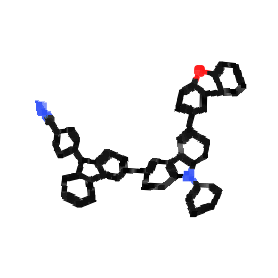 N#Cc1ccc(C2c3ccccc3-c3cc(-c4ccc5c(c4)c4c(n5-c5ccccc5)CCC(c5ccc6oc7ccccc7c6c5)=C4)ccc32)cc1